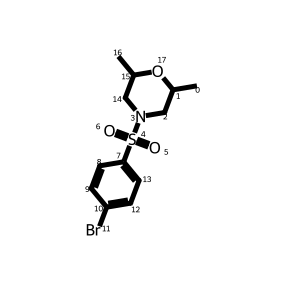 CC1CN(S(=O)(=O)c2ccc(Br)cc2)CC(C)O1